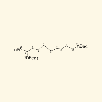 [CH2]CCC(CCCCC)CCCCCCCCCCCCCCCCCC